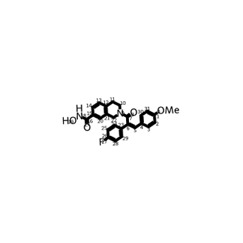 COc1ccc(/C=C(\C(=O)N2CCc3ccc(C(=O)NO)cc3C2)c2ccc(F)cc2)cc1